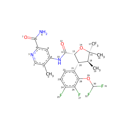 Cc1cnc(C(N)=O)cc1NC(=O)[C@@H]1O[C@](C)(C(F)(F)F)[C@@H](C)[C@@H]1c1ccc(F)c(F)c1OC(F)F